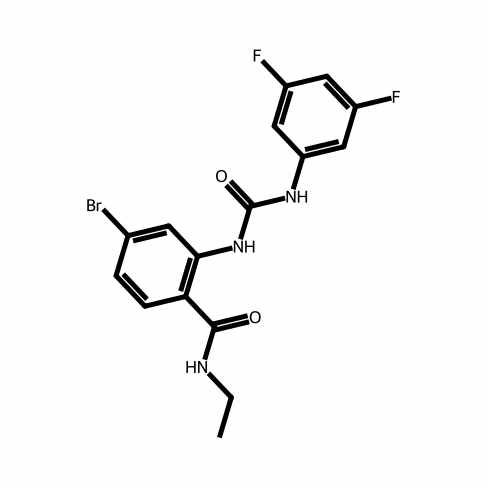 CCNC(=O)c1ccc(Br)cc1NC(=O)Nc1cc(F)cc(F)c1